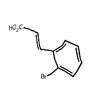 O=C(O)/C=C/c1ccccc1Br